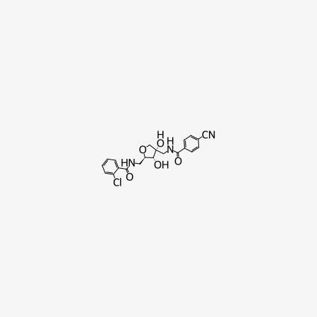 N#Cc1ccc(C(=O)NC[C@]2(O)CO[C@H](CNC(=O)c3ccccc3Cl)[C@H]2O)cc1